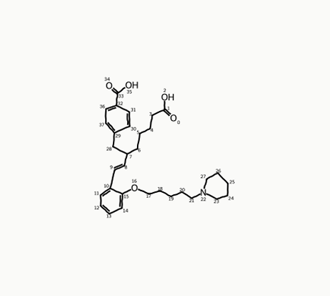 O=C(O)CCCCC(/C=C/c1ccccc1OCCCCCN1CCCCC1)Cc1ccc(C(=O)O)cc1